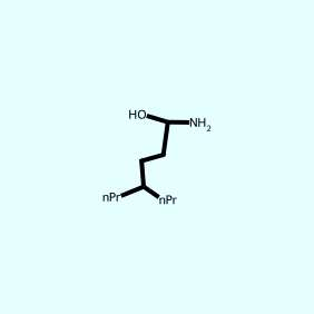 CCCC(CCC)CCC(N)O